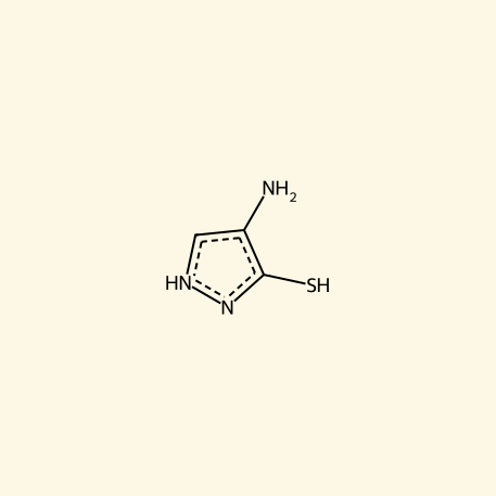 Nc1c[nH]nc1S